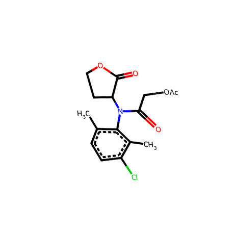 CC(=O)OCC(=O)N(c1c(C)ccc(Cl)c1C)C1CCOC1=O